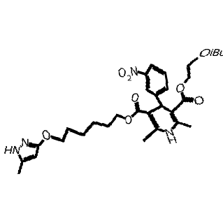 CC1=C(C(=O)OCCCCCCOc2cc(C)[nH]n2)C(c2cccc([N+](=O)[O-])c2)C(C(=O)OCCOCC(C)C)=C(C)N1